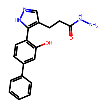 NNC(=O)CCc1cn[nH]c1-c1ccc(-c2ccccc2)cc1O